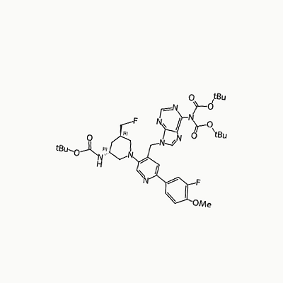 COc1ccc(-c2cc(Cn3cnc4c(N(C(=O)OC(C)(C)C)C(=O)OC(C)(C)C)ncnc43)c(N3C[C@H](CF)C[C@@H](NC(=O)OC(C)(C)C)C3)cn2)cc1F